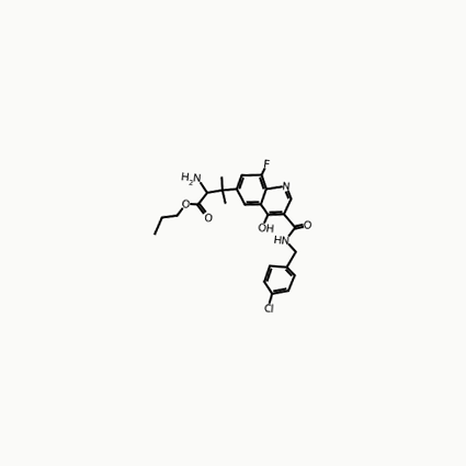 CCCOC(=O)C(N)C(C)(C)c1cc(F)c2ncc(C(=O)NCc3ccc(Cl)cc3)c(O)c2c1